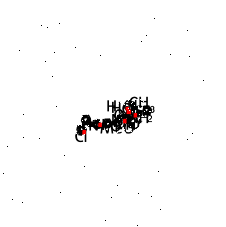 CO[N+](=O)c1cc(S(=O)(=O)NC(=O)c2ccc(N3CCN(Cc4ccccc4-c4ccc(Cl)cc4)CC3)cc2)cc(C(N)=O)c1N[C@H](CCN(C)C)CSc1ccccc1